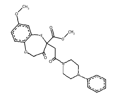 COC(=O)C1(CC(=O)N2CCN(c3ccccc3)CC2)Sc2cc(OC)ccc2OCC1=O